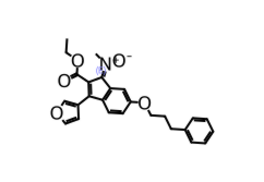 CCOC(=O)C1=C(c2ccoc2)c2ccc(OCCCc3ccccc3)cc2/C1=[N+](/C)[O-]